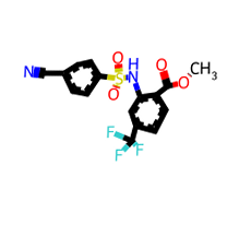 COC(=O)c1ccc(C(F)(F)F)cc1NS(=O)(=O)c1ccc(C#N)cc1